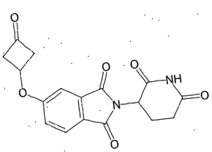 O=C1CC(Oc2ccc3c(c2)C(=O)N(C2CCC(=O)NC2=O)C3=O)C1